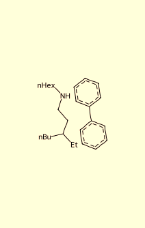 CCCCCCNCCC(CC)CCCC.c1ccc(-c2ccccc2)cc1